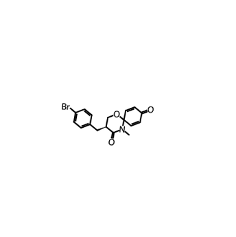 CN1C(=O)[C@@H](Cc2ccc(Br)cc2)COC12C=CC(=O)C=C2